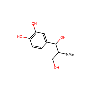 CNC(CO)C(O)c1ccc(O)c(O)c1